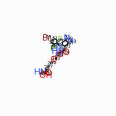 Cn1cnc2c(F)c(Nc3ccc(Br)cc3Cl)c(C(=O)NOCCOCCCCC(=O)NO)cc21